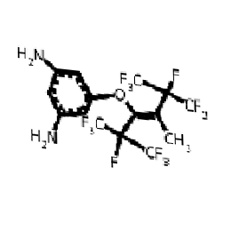 C/C(=C(/Oc1cc(N)cc(N)c1)C(F)(C(F)(F)F)C(F)(F)F)C(F)(C(F)(F)F)C(F)(F)F